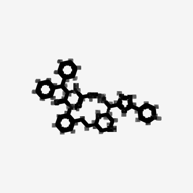 COC(=O)N[C@H](C(=O)Nc1ccccc1CC[C@@H]1CNC[C@@H](C(S)c2nnc(-c3ccncc3)o2)O1)C(c1ccccc1)c1ccccc1